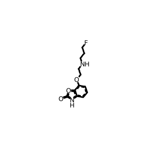 O=c1[nH]c2cccc(OCCNCCCF)c2o1